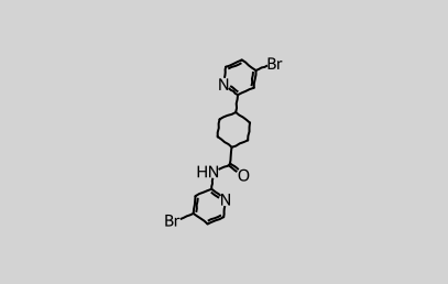 O=C(Nc1cc(Br)ccn1)C1CCC(c2cc(Br)ccn2)CC1